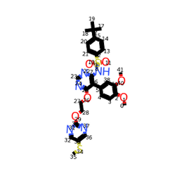 COc1ccc(-c2c(NS(=O)(=O)c3ccc(C(C)(C)C)cc3)ncnc2OCCOc2ncc(SC)cn2)cc1OC